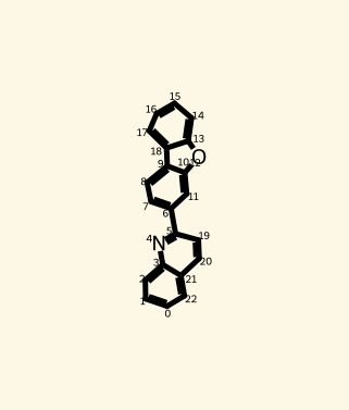 c1ccc2nc(-c3ccc4c(c3)oc3ccccc34)ccc2c1